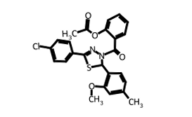 COc1cc(C)ccc1C1SC(c2ccc(Cl)cc2)=NN1C(=O)c1ccccc1OC(C)=O